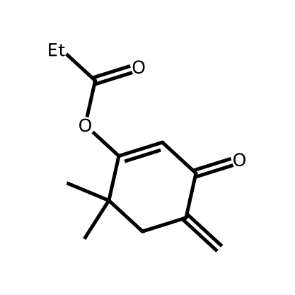 C=C1CC(C)(C)C(OC(=O)CC)=CC1=O